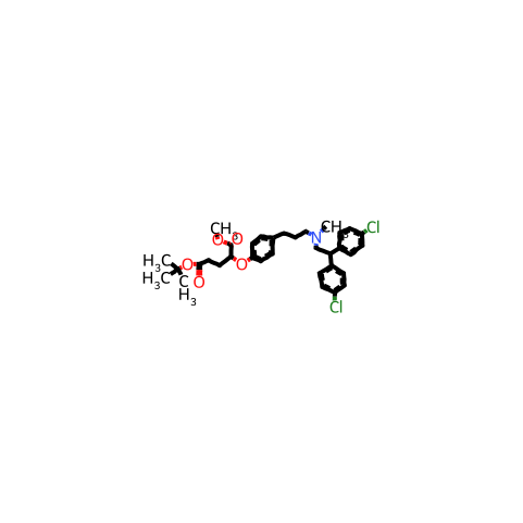 COC(=O)C(CCC(=O)OC(C)(C)C)Oc1ccc(CCCN(C)CC(c2ccc(Cl)cc2)c2ccc(Cl)cc2)cc1